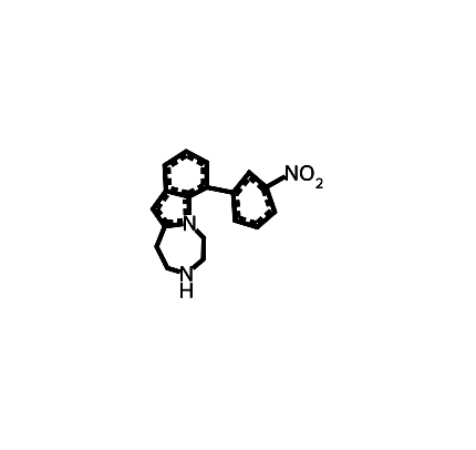 O=[N+]([O-])c1cccc(-c2cccc3cc4n(c23)CCNCC4)c1